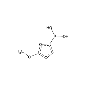 COc1ccc(B(O)O)o1